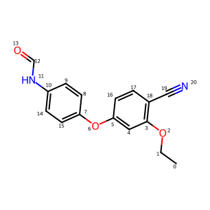 CCOc1cc(Oc2ccc(NC=O)cc2)ccc1C#N